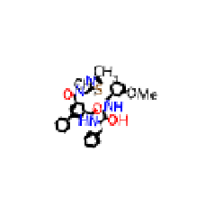 COc1cccc(CNC[C@@H](O)[C@H](Cc2ccccc2)NC(=O)c2cc(C(=O)N(C)Cc3nc(C)cs3)cc(-c3ccccc3)c2)c1